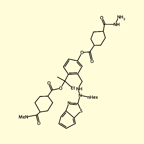 CCCCCCN(NCc1cc(OC(=O)C2CCC(C(=O)NN)CC2)ccc1C(C)(CC)OC(=O)C1CCC(C(=O)NC)CC1)c1nc2ccccc2s1